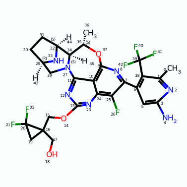 Cc1nc(N)cc(-c2nc3c4c(nc(OCC5(CO)CC5(F)F)nc4c2F)N2C[C@H]4CC[C@H](N4)[C@H]2[C@H](C)O3)c1C(F)(F)F